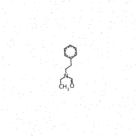 CCN(C=O)CCc1ccccc1